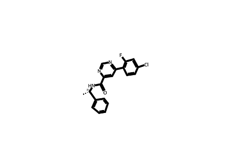 C[C@H](NC(=O)c1cc(-c2ccc(Cl)cc2F)ncn1)c1ccccc1